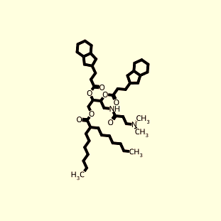 CCCCCCCC(CCCCCCC)C(=O)OCC(OC(=O)CCC1CC2CCCCC2C1)C(CNC(=O)CCN(C)C)OC(=O)CCC1CC2CCCCC2C1